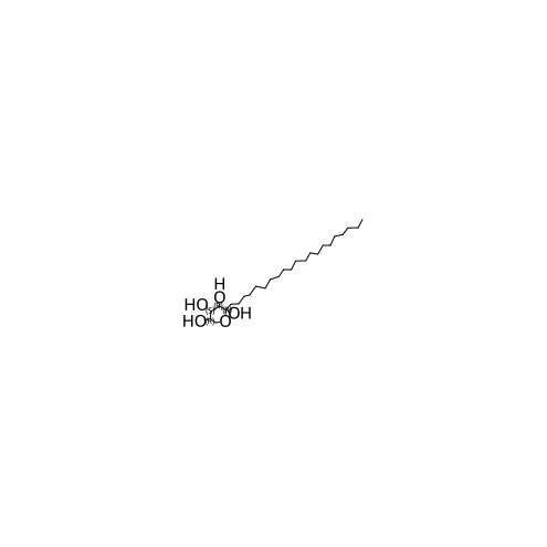 CCCCCCCCCCCCCCCCCCCCC[C@@]1(O)OC[C@@H](O)[C@H](O)[C@H]1O